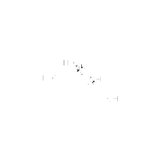 CCCCCCCCCC(=O)NCCCC[C@H](NC(=O)CCCCCCCCC)C(=O)OCC